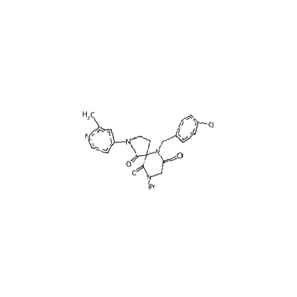 Cc1cc(N2CCC3(C2=O)C(=O)N(C(C)C)CC(=O)N3Cc2ccc(Cl)cc2)ccn1